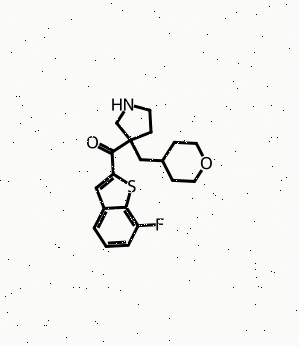 O=C(c1cc2cccc(F)c2s1)C1(CC2CCOCC2)CCNC1